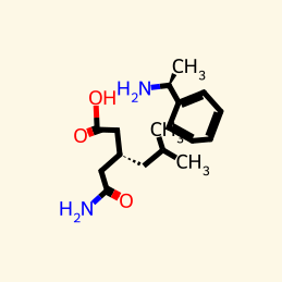 CC(C)C[C@H](CC(N)=O)CC(=O)O.C[C@H](N)c1ccccc1